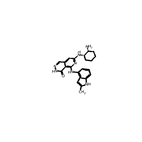 Cc1cc2c(Nc3nc(N[C@@H]4CCCC[C@@H]4N)cc4cn[nH]c(=O)c34)cccc2[nH]1